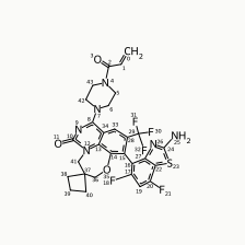 C=CC(=O)N1CCN(c2nc(=O)n3c4c(c(-c5c(F)cc(F)c6sc(N)nc56)c(C(F)(F)F)cc24)OCC2(CCC2)C3)CC1